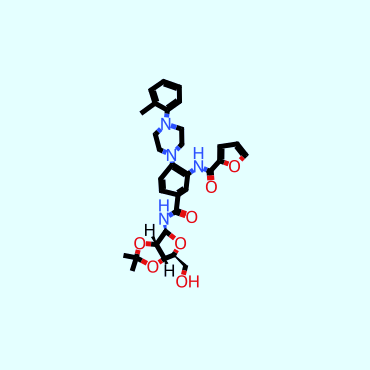 Cc1ccccc1N1CCN(c2ccc(C(=O)N[C@H]3O[C@@H](CO)[C@@H]4OC(C)(C)O[C@@H]43)cc2NC(=O)c2ccco2)CC1